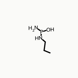 CCCNP(N)O